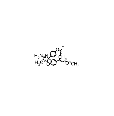 CCOC/C=C(\C)c1cccc(C2(c3ccc(OC(F)F)cc3)N=C(N)N(C)C2=O)c1